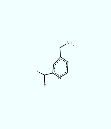 NCc1ccnc(C(F)F)c1